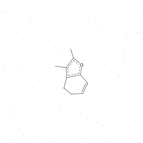 Cc1oc2c(c1C)CCC=C2